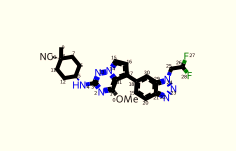 COc1nc(N[C@H]2CC[C@@](C)(C#N)CC2)nn2ccc(-c3ccc4nnn(CC(F)F)c4c3)c12